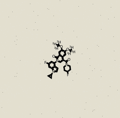 [2H]C([2H])([2H])Oc1cc2c(C(=O)N3CCC(F)CC3)cn(-c3cc(F)cc4c3ccn4C3CC3)c(=O)c2cc1OC([2H])([2H])[2H]